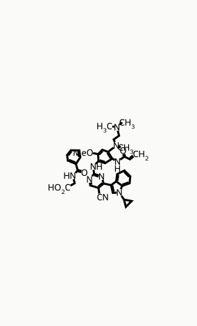 C=CC(=O)Nc1cc(Nc2ncc(C#N)c(-c3cn(C4CC4)c4ccccc34)n2)c(OC)cc1N(C)CCN(C)C.O=C(O)CNC(=O)c1ccccc1